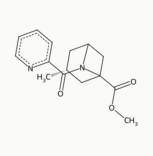 COC(=O)C12CC(C[C@@H](C)C1)N2C(=O)c1ccccn1